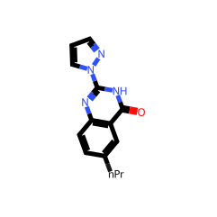 CCCc1ccc2nc(-n3cccn3)[nH]c(=O)c2c1